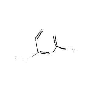 C=C/C(=N\C(=C)OC)C(=O)OCC